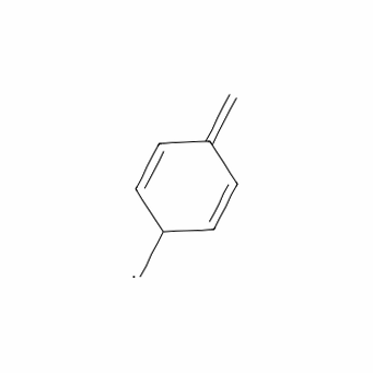 [CH2]C1C=CC(=C)C=C1